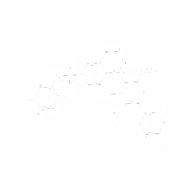 COc1cc(-c2ccc(F)cc2)c(C#N)c(F)c1-c1nccc2cc(S(=O)(=O)Nc3ccncn3)ccc12